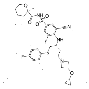 C[C@]1(C(=O)NS(=O)(=O)c2cc(F)c(N[C@H](CCN3CC(OC4CC4)C3)CSc3ccc(F)cc3)c(C#N)c2)CCCCO1